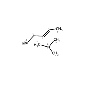 CC=CCCCCC.CN(C)C